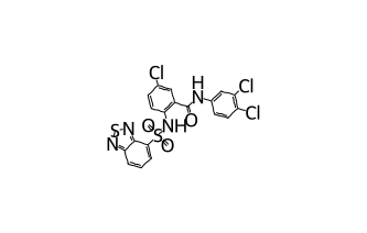 O=C(Nc1ccc(Cl)c(Cl)c1)c1cc(Cl)ccc1NS(=O)(=O)c1cccc2nsnc12